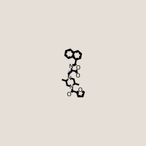 CC1CN(C(=O)c2ccco2)C(C)CN1/C=C1/N=C(c2cccc3ccccc23)OC1=O